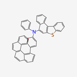 c1ccc(N(c2ccc(-c3cccc4ccc5ccc6ccccc6c5c34)cc2)c2cc3sc4ccccc4c3c3ccccc23)cc1